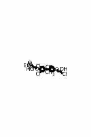 CCS(=O)(=O)C[C@@H](O)COc1c(Cl)cc(C(C)(C)c2ccc(OCC(O)CCl)cc2)cc1Cl